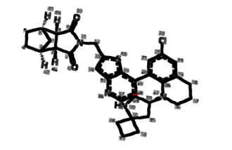 O=C1[C@@H]2[C@H]3CC[C@H](C3)[C@@H]2C(=O)N1Cc1cc2nccc(-c3cc(Cl)cc4c3N([C@@H]3CNC5(CCC5)C3)CCC4)c2s1